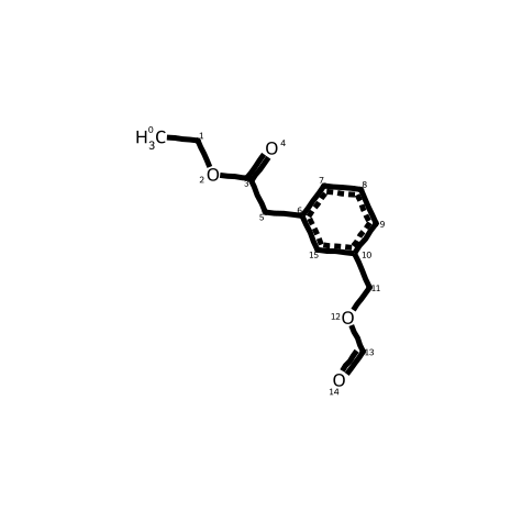 CCOC(=O)Cc1cccc(COC=O)c1